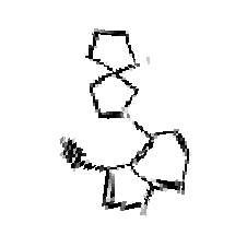 N#Cc1c[nH]c2nccc(N3CCC4(CCCN4)C3)c12